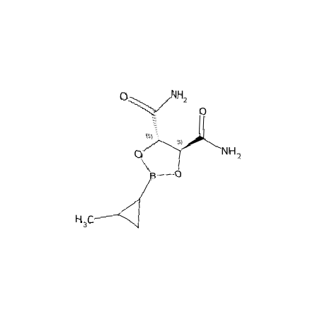 CC1CC1B1O[C@H](C(N)=O)[C@@H](C(N)=O)O1